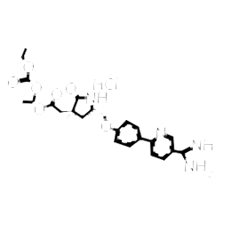 CCOC(=O)OC(C)OC(=O)C[C@@H]1C[C@@H](COc2ccc(-c3ccc(C(=N)N)cn3)cc2)NC1=O.Cl